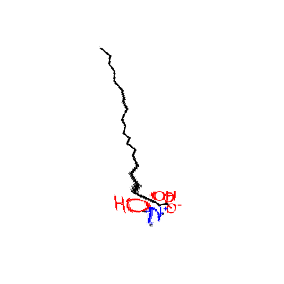 CCCCCCCCCCCCCCCCCCCC(O)(O)C(C(=O)[O-])[N+](C)(C)C